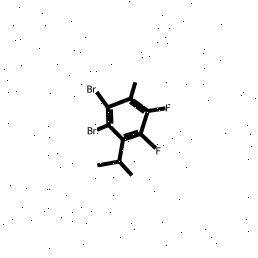 Cc1c(F)c(F)c(C(C)C)c(Br)c1Br